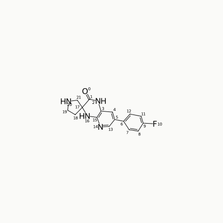 O=C1Nc2cc(-c3ccc(F)cc3)cnc2NC12CCNC2